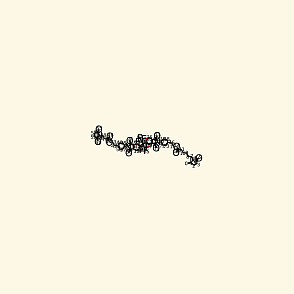 C=C1C=CC(=O)N1CCCCCC(=O)OCCc1ccc(N2C(=O)c3ccc(C(c4ccc5c(c4)C(=O)N(c4ccc(CCOC(=O)CCN6C(=O)C=CC6=O)cc4)C5=O)(C(F)(F)F)C(F)(F)F)cc3C2=O)cc1